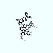 COc1ccc(C(NC2CC(n3cnc4c(=O)[nH]c(NC(=O)C(C)C)nc43)OC2COP(=O)(Cl)N(C)C)(c2ccccc2)c2ccccc2)cc1